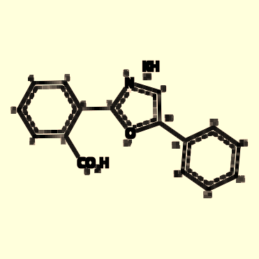 O=C(O)c1ccccc1-c1ncc(-c2ccccc2)o1.[KH]